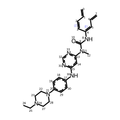 C=C/C=C\C(=C/C=C)NC(=O)N(C)c1cc(Nc2ccc(N3CCN(CC)CC3)cc2)ncn1